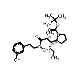 CCS[C@H]([C@@H](C)C(=O)N(C)CCc1cccc(O)c1)[C@@H]1CCCN1C(=O)OC(C)(C)C